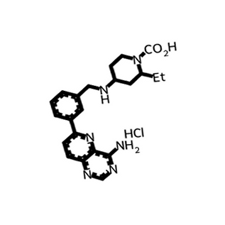 CCC1CC(NCc2cccc(-c3ccc4ncnc(N)c4n3)c2)CCN1C(=O)O.Cl